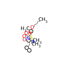 CCCCCCOc1ccc(-c2sc3c(N(C)C)c(Cc4cccc5ccccc45)cc(=O)n3c2C(=O)O)cc1C